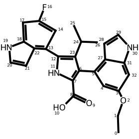 CCOc1cc(-c2c(C(=O)O)[nH]c(-c3cc(F)cc4[nH]ccc34)c2C(C)C)c2cc[nH]c2c1